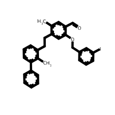 Cc1cc(C=O)c(OCc2cccc(I)c2)cc1CCc1cccc(-c2ccccc2)c1C